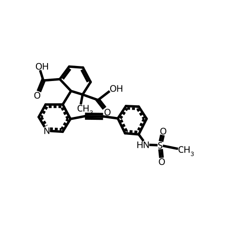 CC1(C(=O)O)C=CC=C(C(=O)O)C1c1ccncc1C#Cc1cccc(NS(C)(=O)=O)c1